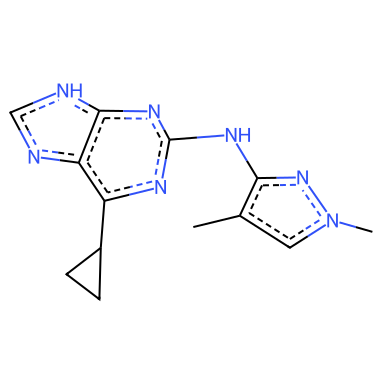 Cc1cn(C)nc1Nc1nc(C2CC2)c2nc[nH]c2n1